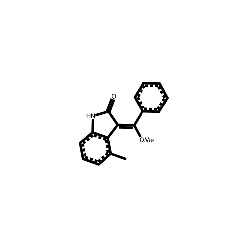 CO/C(=C1/C(=O)Nc2cccc(C)c21)c1ccccc1